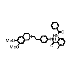 COc1cc2c(cc1OC)CN(CCc1ccc(NC(=O)c3c(C)cccc3NC(=O)c3ccccc3)cc1)CC2